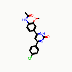 COc1cc(-c2cc(-c3ccc(Cl)cc3)nc(=O)[nH]2)ccc1NC(C)=O